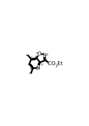 CCOC(=O)c1noc2c(C)cc(C)nc12